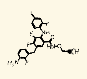 C#CCONC(=O)c1cc(Cc2cccc(N)c2F)c(F)c(F)c1Nc1ccc(I)cc1F